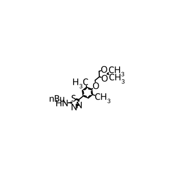 CCCCNc1nnc(-c2cc(C)c(OCC3COC(C)(C)O3)c(C)c2)s1